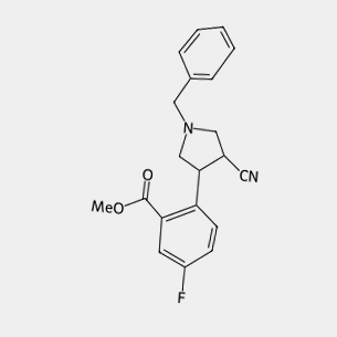 COC(=O)c1cc(F)ccc1C1CN(Cc2ccccc2)CC1C#N